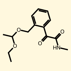 CCOC(C)OCc1ccccc1C(=O)C(=O)NC